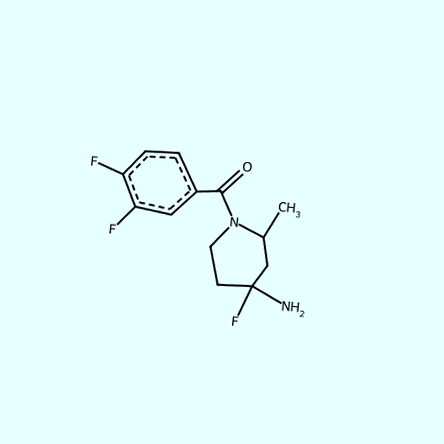 CC1CC(N)(F)CCN1C(=O)c1ccc(F)c(F)c1